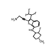 CN1CCC(Nc2cccc3c(C(F)C(F)F)c(C#CCN)sc23)C(F)C1